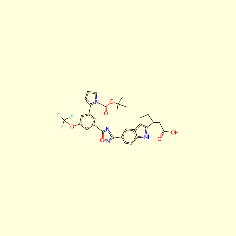 CC(C)(C)OC(=O)n1cccc1-c1cc(OC(F)(F)F)cc(-c2nc(-c3ccc4[nH]c5c(c4c3)CCC5CC(=O)O)no2)c1